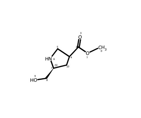 COC(=O)C1CN[C@H](CO)C1